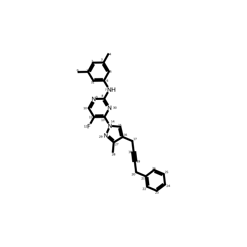 Cc1cc(C)cc(Nc2ncc(F)c(-n3cc(CC#CCc4ccccc4)c(C)n3)n2)c1